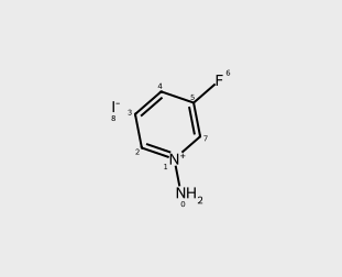 N[n+]1cccc(F)c1.[I-]